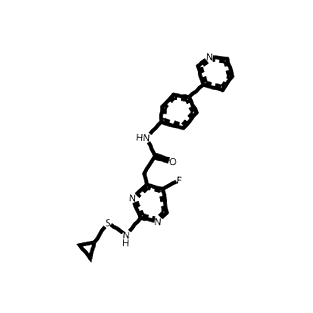 O=C(Cc1nc(NSC2CC2)ncc1F)Nc1ccc(-c2cccnc2)cc1